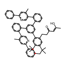 C/C(O)=C/C(=O)CCc1cc2c(cc1-c1cc(-c3ccccc3-c3cnc(-c4ccccc4)cc3C)cc(-c3ccccc3-c3cnc(-c4ccccc4)cc3C)c1)C(C)(C)CCC2(C)C